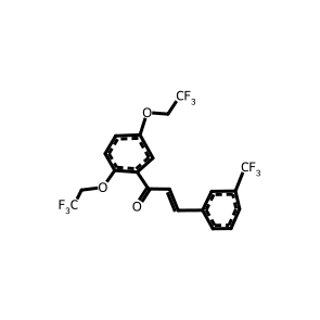 O=C(C=Cc1cccc(C(F)(F)F)c1)c1cc(OCC(F)(F)F)ccc1OCC(F)(F)F